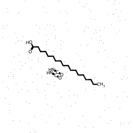 CCCCCCCCCCCCCCCCCC(=O)O.N=C=O.N=C=O